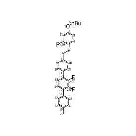 CCCCOc1ccc(CCc2ccc(-c3ccc(-c4ccc(C)cc4)c(F)c3F)cc2)c(F)c1